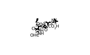 C#CCO/N=C(\C(=O)NC1C(=O)N2C(C(=O)O)=C(CSc3nnc(C)s3)CS[C@H]12)c1nc(NC=O)sc1Cl